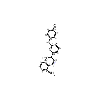 C=C(/N=C\c1ccccc1N)c1cccc(Cc2ccc(Cl)cc2)n1